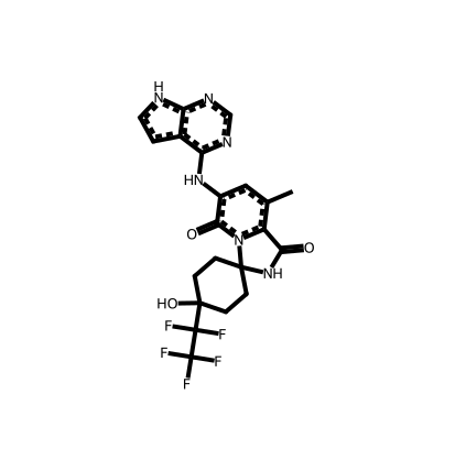 Cc1cc(Nc2ncnc3[nH]ccc23)c(=O)n2c1C(=O)NC21CCC(O)(C(F)(F)C(F)(F)F)CC1